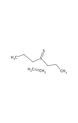 C=C.CCCS(=S)CCC